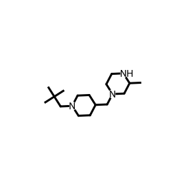 CC1CN(CC2CCN(CC(C)(C)C)CC2)CCN1